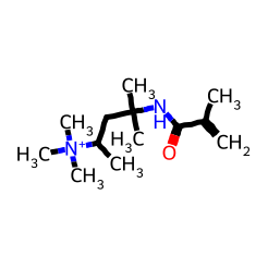 C=C(C)C(=O)NC(C)(C)CC(C)[N+](C)(C)C